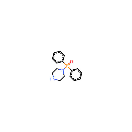 O=P(c1ccccc1)(c1ccccc1)N1CCNCC1